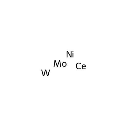 [Ce].[Mo].[Ni].[W]